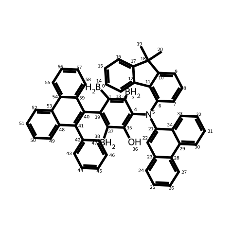 Bc1c(B)c(N(c2cccc3c2-c2ccccc2C3(C)C)c2cc3ccccc3c3ccccc23)c(O)c(B)c1-c1c(-c2ccccc2)c2ccccc2c2ccccc12